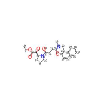 CCOC(=O)C(=O)[C@@H]1CCCN1C(=O)CCC(=O)N(C)Cc1cccc2ccccc12